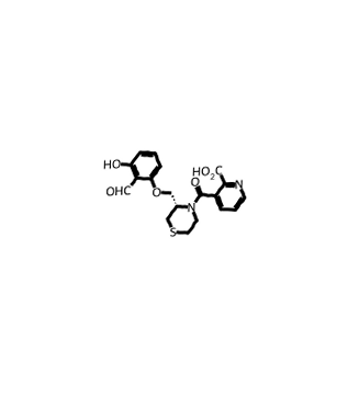 O=Cc1c(O)cccc1OC[C@H]1CSCCN1C(=O)c1cccnc1C(=O)O